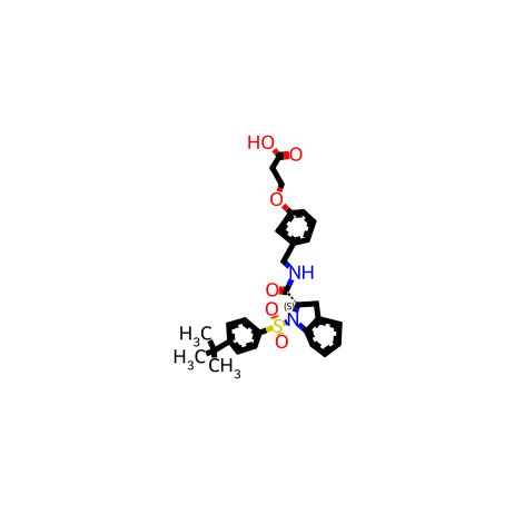 CC(C)(C)c1ccc(S(=O)(=O)N2c3ccccc3C[C@H]2C(=O)NCc2cccc(OCCC(=O)O)c2)cc1